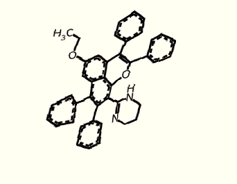 CCOc1cc2c3c(c(C4=NCCCN4)c(-c4ccccc4)c(-c4ccccc4)c3c1)OC(c1ccccc1)=C2c1ccccc1